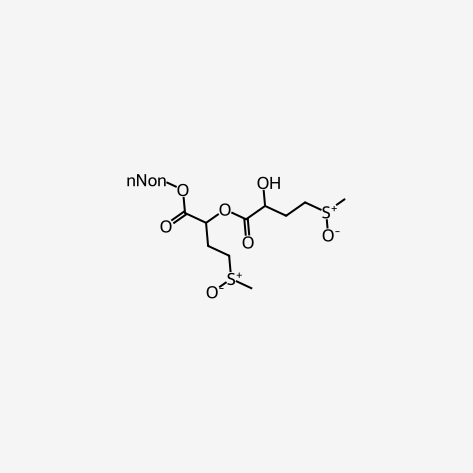 CCCCCCCCCOC(=O)C(CC[S+](C)[O-])OC(=O)C(O)CC[S+](C)[O-]